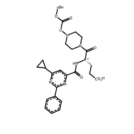 CCCCOC(=O)ON1CCN(C(=O)[C@H](CCC(=O)O)NC(=O)c2cc(C3CC3)nc(-c3ccccc3)n2)CC1